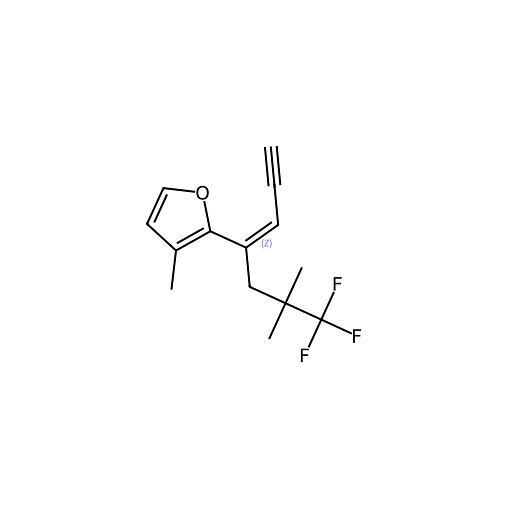 C#C/C=C(/CC(C)(C)C(F)(F)F)c1occc1C